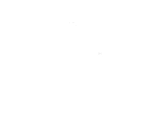 C=CCC1CCc2cc(OC)ccc2C1CC=C